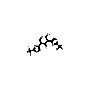 O=C(C(CBr)c1csc(C(F)(F)F)n1)C(CBr)c1csc(C(F)(F)F)n1